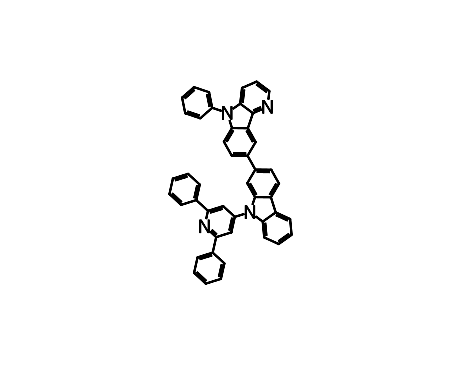 c1ccc(-c2cc(-n3c4ccccc4c4ccc(-c5ccc6c(c5)c5ncccc5n6-c5ccccc5)cc43)cc(-c3ccccc3)n2)cc1